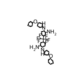 Nc1cc(C(c2ccc(Nc3ccc(Oc4ccccc4)cc3)c(N)c2)(C(F)(F)F)C(F)(F)F)ccc1Nc1ccc(Oc2ccccc2)cc1